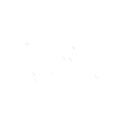 COc1ccc(Cn2cc(-n3ccc4c(-c5ccc6ncsc6c5)n(-c5cccc(C)n5)nc4c3=O)cn2)cc1